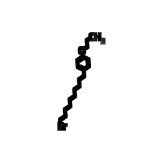 CCCOc1ccc(CCCCCCCCCCBr)cc1